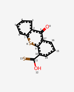 O=c1c2ccccc2sc2c(C(O)=S)cccc12